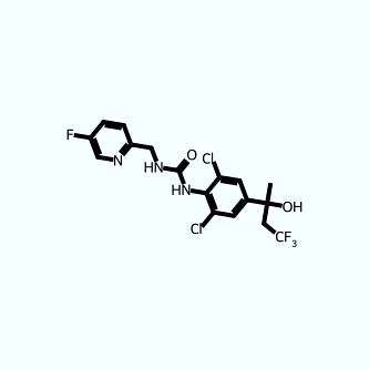 CC(O)(CC(F)(F)F)c1cc(Cl)c(NC(=O)NCc2ccc(F)cn2)c(Cl)c1